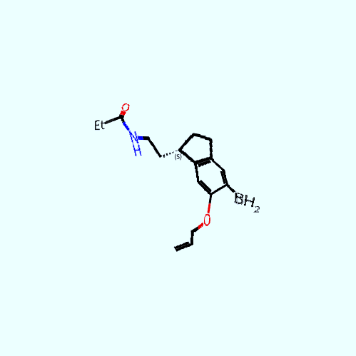 Bc1cc2c(cc1OCC=C)[C@H](CCNC(=O)CC)CC2